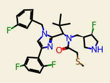 CSCC(=O)N(C[C@@H]1CNC[C@@H]1F)[C@@H](c1nc(-c2cc(F)ccc2F)cn1Cc1cccc(F)c1)C(C)(C)C